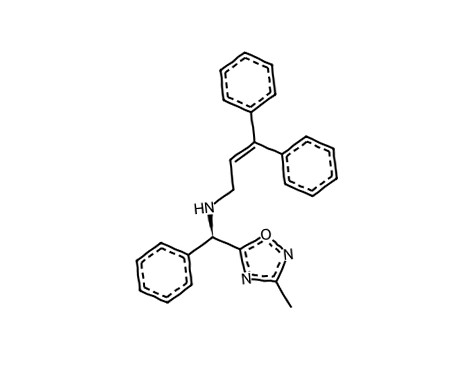 Cc1noc([C@H](NCC=C(c2ccccc2)c2ccccc2)c2ccccc2)n1